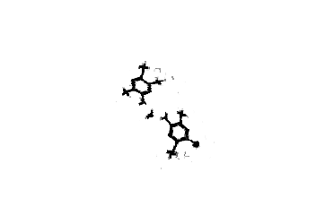 CC(C)(C)c1cc(C(C)(C)C)c(C(C)(C)C)cc1C(F)OC(=O)OC(F)c1cc(C(C)(C)C)c(C(C)(C)C)cc1C(C)(C)C